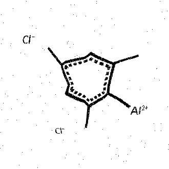 Cc1cc(C)[c]([Al+2])c(C)c1.[Cl-].[Cl-]